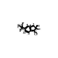 CC1(C)Cc2cc(C(F)(F)F)ccc2C1=O